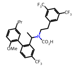 COc1ccc(C(C)C)cc1-c1ccc(C(F)(F)F)cc1C(C)N(CCc1cc(C(F)(F)F)cc(C(F)(F)F)c1)C(=O)O